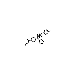 CCCC(C)[C@H]1CC[C@H](C(=NN=Cc2ccc(C)cc2)c2ccccc2)CC1